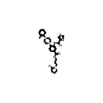 Cc1ccccc1N1CCN(c2ccc(C(=O)NCCCN3CCCC3=O)cc2NC(=O)c2cncs2)CC1